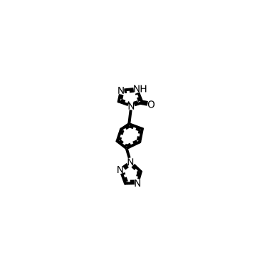 O=c1[nH]ncn1-c1ccc(-n2cncn2)cc1